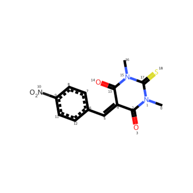 CN1C(=O)C(=Cc2ccc([N+](=O)[O-])cc2)C(=O)N(C)C1=S